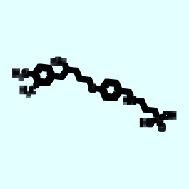 CCCCC(CCCOc1ccc(CNCCCP(=O)(O)O)cc1)Cc1ccc(C)c(C)c1